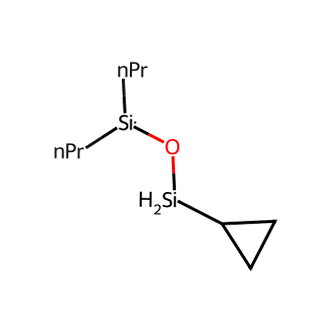 CCC[Si](CCC)O[SiH2]C1CC1